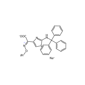 CC(C)O/N=C(/C(=O)[O-])c1csc(NC(c2ccccc2)(c2ccccc2)c2ccccc2)n1.[Na+]